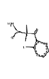 C=C(c1ncccc1Cl)C(C)(C)[S+](N)[O-]